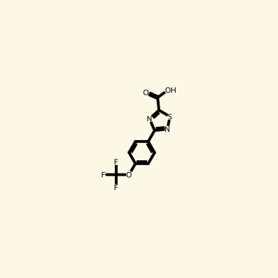 O=C(O)c1nc(-c2ccc(OC(F)(F)F)cc2)ns1